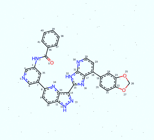 O=C(Nc1cncc(-c2ccc3[nH]nc(-c4nc5c(-c6ccc7c(c6)OCO7)ccnc5[nH]4)c3n2)c1)c1ccccc1